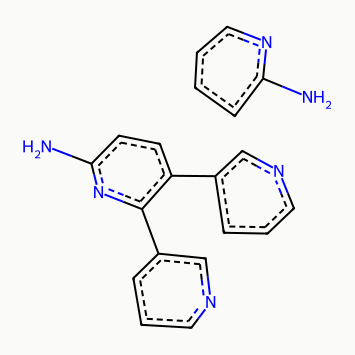 Nc1ccc(-c2cccnc2)c(-c2cccnc2)n1.Nc1ccccn1